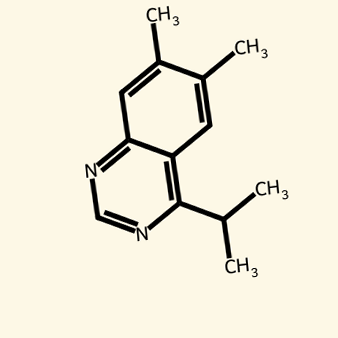 Cc1cc2ncnc(C(C)C)c2cc1C